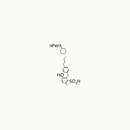 CCCCC[C@H]1CC[C@H](CCCCc2ccc(Cc3c(O)ccc(C)c3S(=O)(=O)O)cc2)CC1